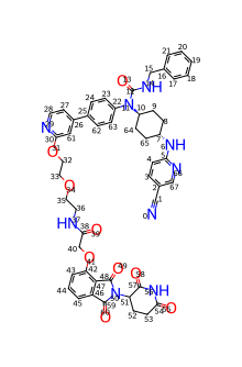 N#Cc1ccc(N[C@H]2CC[C@H](N(C(=O)NCc3ccccc3)c3ccc(-c4ccnc(OCCOCCNC(=O)COc5cccc6c5C(=O)N(C5CCC(=O)NC5=O)C6=O)c4)cc3)CC2)nc1